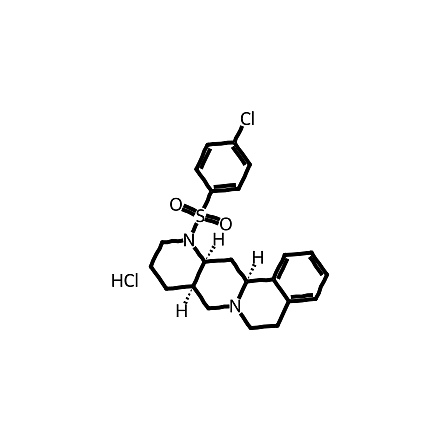 Cl.O=S(=O)(c1ccc(Cl)cc1)N1CCC[C@@H]2CN3CCc4ccccc4[C@@H]3C[C@@H]21